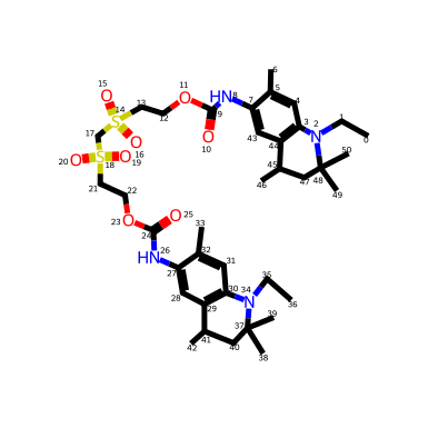 CCN1c2cc(C)c(NC(=O)OCCS(=O)(=O)CS(=O)(=O)CCOC(=O)Nc3cc4c(cc3C)N(CC)C(C)(C)CC4C)cc2C(C)CC1(C)C